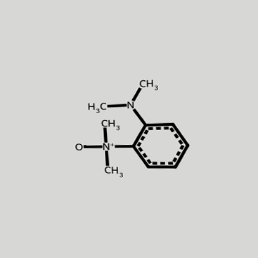 CN(C)c1ccccc1[N+](C)(C)[O-]